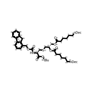 CCCCCCCCCCCCCCCC(=O)OC[C@@H](CSC[C@H](NC(=O)OCc1cccc2c1Cc1ccccc1-2)C(=O)OC(C)(C)C)OC(=O)CCCCCCCCCCCCCCC